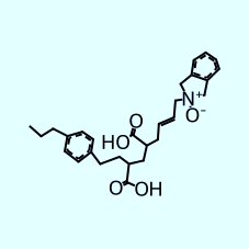 CCCc1ccc(CCC(CC(CC=CC[N+]2([O-])Cc3ccccc3C2)C(=O)O)C(=O)O)cc1